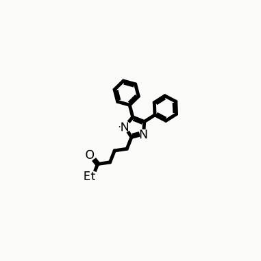 CCC(=O)CCCC1=NC(c2ccccc2)=C(c2ccccc2)[N]1